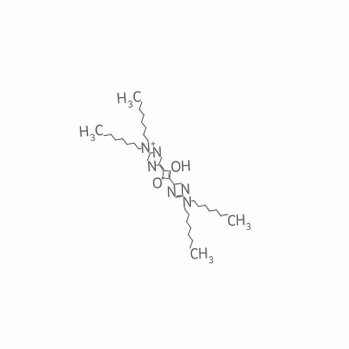 CCCCCCCCN(CCCCCCCC)c1cnc(C2=C(O)/C(=C3\C=NC(=[N+](CCCCCCCC)CCCCCCCC)C=N3)C2=O)cn1